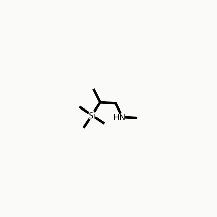 CNCC(C)[Si](C)(C)C